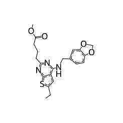 CCc1cc2c(NCc3ccc4c(c3)OCO4)nc(CCCC(=O)OC)nc2s1